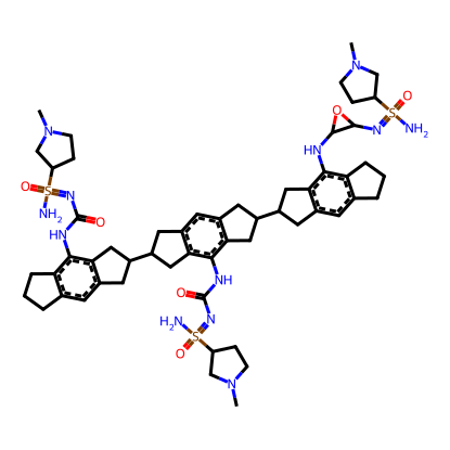 CN1CCC(S(N)(=O)=NC(=O)Nc2c3c(cc4c2CC(C2Cc5cc6c(c(NC(=O)N=S(N)(=O)C7CCN(C)C7)c5C2)CC(C2Cc5cc7c(c(NC8OC8N=S(N)(=O)C8CCN(C)C8)c5C2)CCC7)C6)C4)CCC3)C1